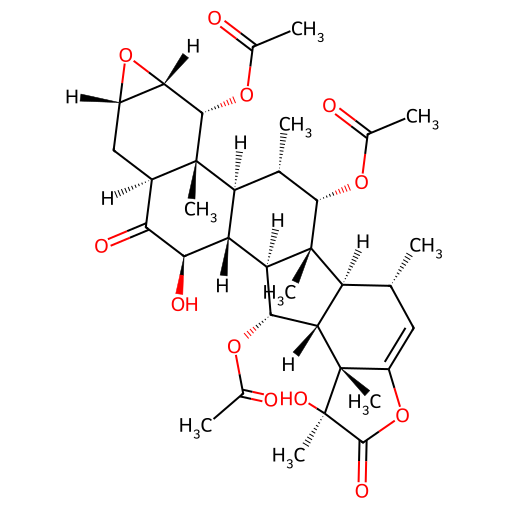 CC(=O)O[C@@H]1[C@H]2[C@H]3[C@H]([C@H](C)[C@H](OC(C)=O)[C@]2(C)[C@@H]2[C@@H]1[C@]1(C)C(=C[C@H]2C)OC(=O)[C@@]1(C)O)[C@]1(C)[C@H](C[C@@H]2O[C@@H]2[C@@H]1OC(C)=O)C(=O)[C@@H]3O